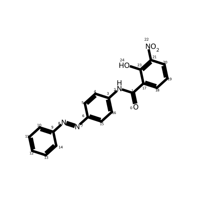 O=C(Nc1ccc(N=Nc2ccccc2)cc1)c1cccc([N+](=O)[O-])c1O